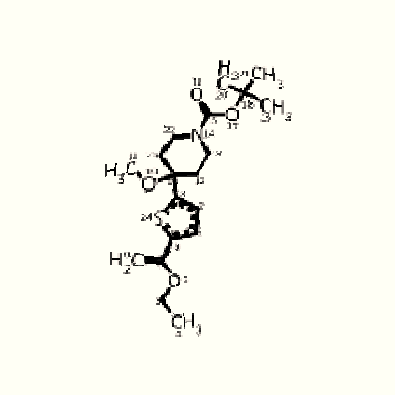 C=C(OCC)c1ccc(C2(OC)CCN(C(=O)OC(C)(C)C)CC2)s1